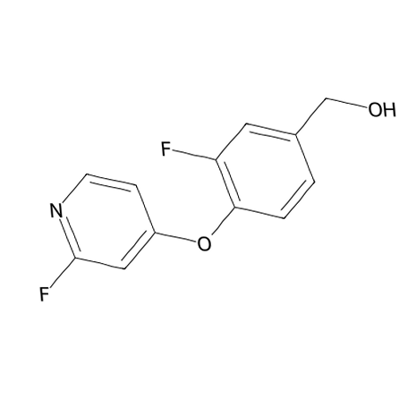 OCc1ccc(Oc2ccnc(F)c2)c(F)c1